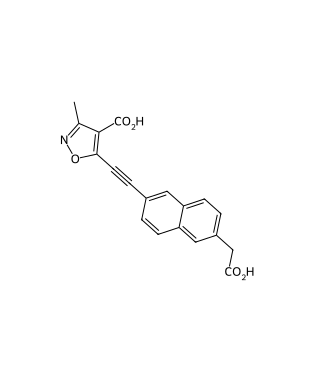 Cc1noc(C#Cc2ccc3cc(CC(=O)O)ccc3c2)c1C(=O)O